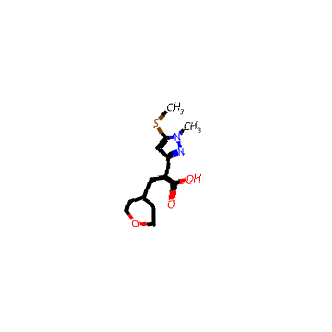 CSc1cc(C(CC2CCOCC2)C(=O)O)nn1C